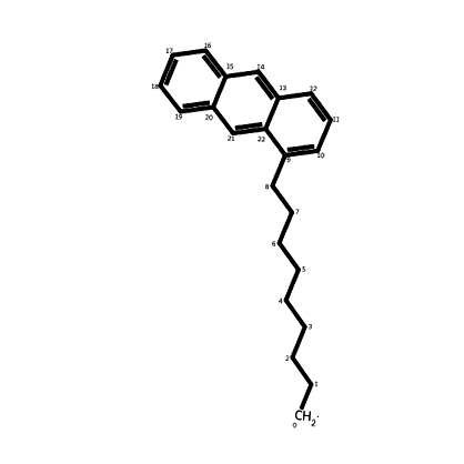 [CH2]CCCCCCCCc1cccc2cc3ccccc3cc12